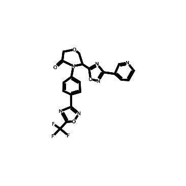 O=C1COCC(c2nc(-c3cccnc3)no2)N1c1ccc(-c2noc(C(F)(F)F)n2)cc1